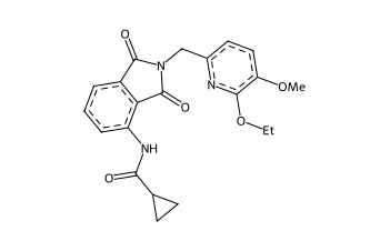 CCOc1nc(CN2C(=O)c3cccc(NC(=O)C4CC4)c3C2=O)ccc1OC